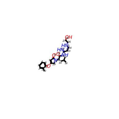 Cc1ccccc1OC1=CC(=O)N([C@@H](CC(C)C)C(=O)NC(=N)/C=C\NCCO)C1